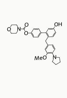 COc1cc(Cc2ccc(O)cc2-c2ccc(OC(=O)N3CCOCC3)cc2)ccc1N1CCCC1